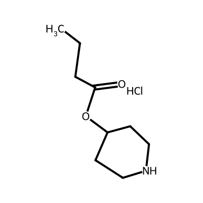 CCCC(=O)OC1CCNCC1.Cl